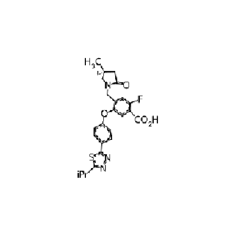 CC(C)c1nnc(-c2ccc(Oc3cc(C(=O)O)c(F)cc3CN3C[C@@H](C)CC3=O)cc2)s1